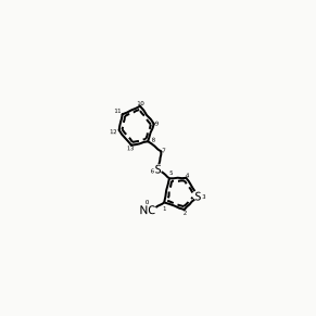 N#Cc1cscc1SCc1ccccc1